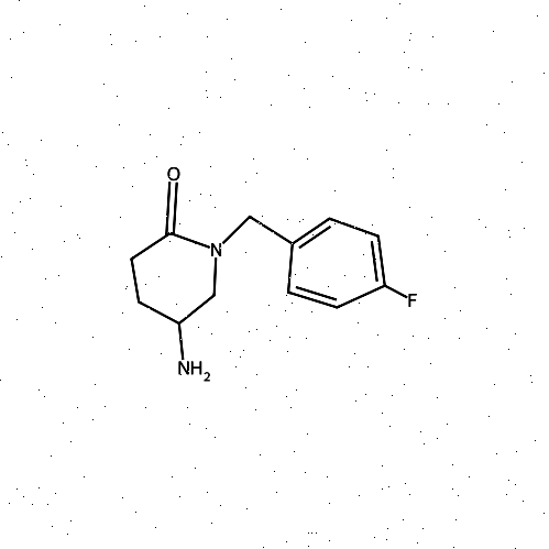 NC1CCC(=O)N(Cc2ccc(F)cc2)C1